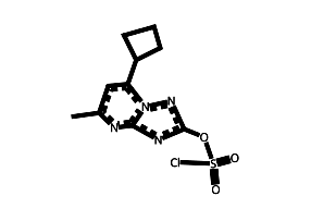 Cc1cc(C2CCC2)n2nc(OS(=O)(=O)Cl)nc2n1